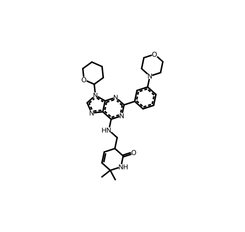 CC1(C)C=CC(CNc2nc(-c3cccc(N4CCOCC4)c3)nc3c2ncn3C2CCCCO2)C(=O)N1